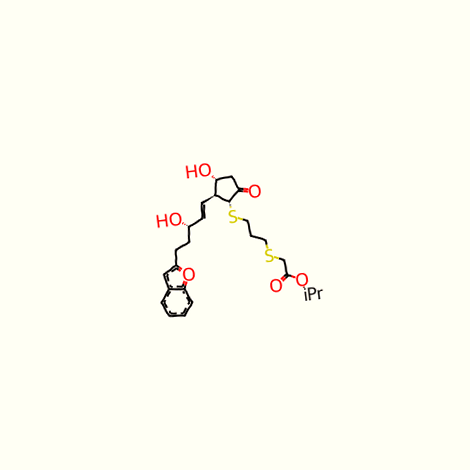 CC(C)OC(=O)CSCCCS[C@H]1C(=O)C[C@@H](O)[C@@H]1C=C[C@@H](O)CCc1cc2ccccc2o1